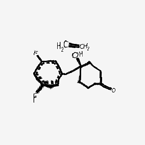 C=C.O=C1CCC(O)(c2cc(F)cc(F)c2)CC1